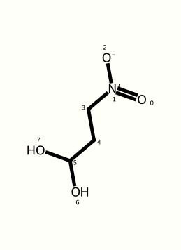 O=[N+]([O-])CCC(O)O